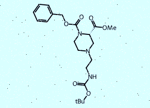 COC(=O)[C@@H]1CN(CCNC(=O)OC(C)(C)C)CCN1C(=O)OCc1ccccc1